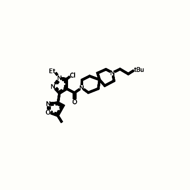 CCn1nc(-c2cc(C)on2)c(C(=O)N2CCC3(CCN(CCC(C)(C)C)CC3)CC2)c1Cl